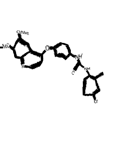 COc1cc2nccc(Oc3ccc(NC(=O)Nc4ccc(Cl)cc4C)cc3)c2cc1OC